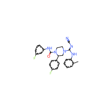 Cc1ccccc1N/C(=N/C#N)N1CCN(C(=O)Nc2cccc(F)c2)C(c2ccc(F)cc2)C1